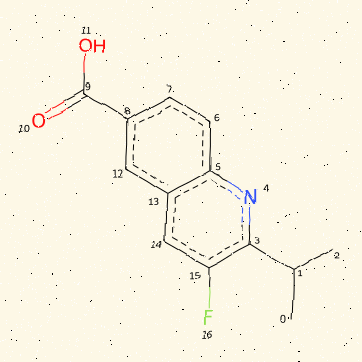 CC(C)c1nc2ccc(C(=O)O)cc2cc1F